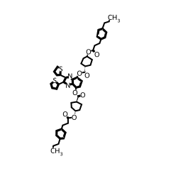 CCCc1ccc(CCC(=O)O[C@H]2CC[C@H](C(=O)Oc3ccc(OC(=O)[C@H]4CC[C@H](OC(=O)CCc5ccc(CCC)cc5)CC4)c4nc(-c5cccs5)c(-c5cccs5)nc34)CC2)cc1